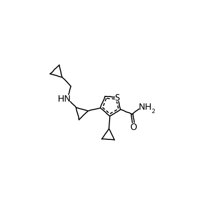 NC(=O)c1scc(C2CC2NCC2CC2)c1C1CC1